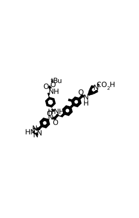 Cc1cc(C(=O)NC2C3CN(C(=O)O)CC32)ccc1-c1ccc(C[C@H](NC(=O)[C@H]2CC[C@H](CNC(=O)OC(C)(C)C)CC2)C(=O)Nc2ccc(-c3nn[nH]n3)cc2)cc1